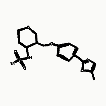 CCS(=O)(=O)NC1CCOCC1COc1ccc(-c2ncc(C)o2)cc1